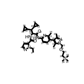 CCn1nccc1C(=O)NC(C(=O)Nc1ccc(-c2c(C)nn(COCCS(C)(C)C)c2C)c(C)n1)C(C1CC1)C1CC1